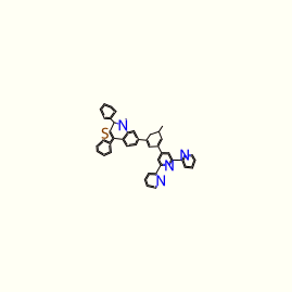 CC1C=C(c2cc(-c3ccccn3)nc(-c3ccccn3)c2)C=C(c2ccc3c(c2)N(C)C(c2ccccc2)c2sc4ccccc4c2-3)C1